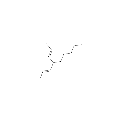 CC=CC(C=CC)CCCCC